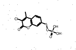 Cc1c(Cl)c(=O)oc2cc(SOP(=O)(O)O)ccc12